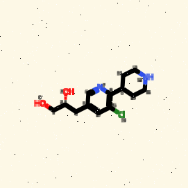 OC[C@H](O)Cc1cnc(C2CCNCC2)c(Cl)c1